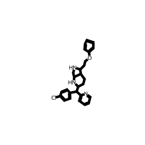 Clc1ccc(C(c2ccccn2)C2CCC3C(CCOc4ccccc4)NCC3N2)cc1